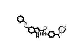 CC(c1ccc(NC(=O)c2cc3cc(OCc4ccccc4)ccc3[nH]2)cc1)N1CCOCC1